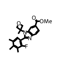 COC(=O)c1ccc2nc(-c3cc(C)c(C)c(C)c3F)n(C3(C)COC3)c2c1